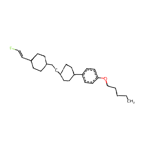 CCCCCOc1ccc(C2CCC(CCC3CCC(/C=C/F)CC3)CC2)cc1